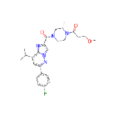 COCCC(=O)N1CCN(C(=O)c2cn3nc(-c4ccc(F)cc4)cc(C(C)C)c3n2)C[C@@H]1C